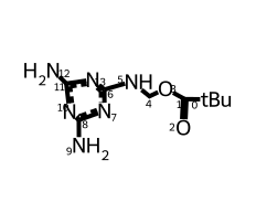 CC(C)(C)C(=O)OCNc1nc(N)nc(N)n1